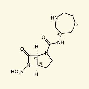 O=C(N[C@@H]1CNCCOC1)N1CC[C@@H]2[C@H]1C(=O)N2S(=O)(=O)O